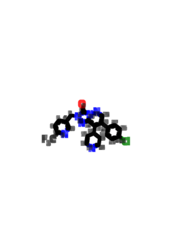 O=c1n(Cc2ccc(C(F)(F)F)nc2)nc2c(C3C=CN=CC3)c(-c3ccc(Cl)cc3)cnn12